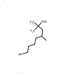 CC(=O)OC(CC(C)CCCCC(C)C)(C(F)(F)F)C(F)(F)F